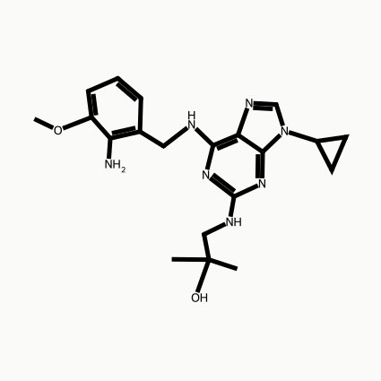 COc1cccc(CNc2nc(NCC(C)(C)O)nc3c2ncn3C2CC2)c1N